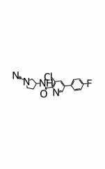 N#CN1CCC(NC(=O)c2ncc(-c3ccc(F)cc3)cc2Cl)C1